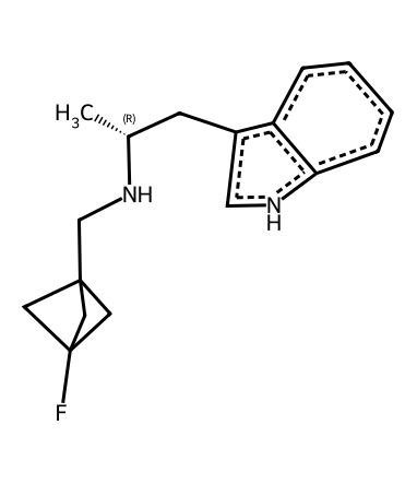 C[C@H](Cc1c[nH]c2ccccc12)NCC12CC(F)(C1)C2